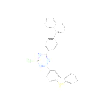 Clc1nc(-c2ccc(-c3cccc4ccccc34)cc2)nc(-c2ccc3sc4ccccc4c3c2)n1